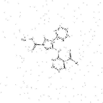 COC(=O)c1cc(Oc2ccccc2[N+](=O)[O-])n(-c2ccccc2)n1